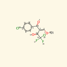 CCOC=C(C(=O)c1ccc(Cl)cc1)C(=O)C(F)(F)Cl